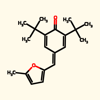 Cc1ccc(C=C2C=C(C(C)(C)C)C(=O)C(C(C)(C)C)=C2)o1